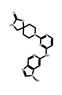 CC(C)n1cnc2cnc(Nc3ccnc(N4CCC5(CC4)CNC(=O)O5)n3)cc21